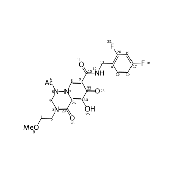 COCCN1CN(C(C)=O)n2cc(C(=O)NCc3ccc(F)cc3F)c(=O)c(O)c2C1=O